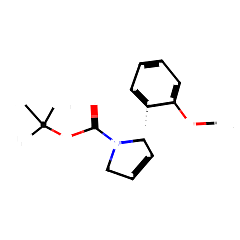 COc1ccccc1[C@@H]1C=CCN1C(=O)OC(C)(C)C